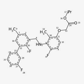 Cc1cc(CNc2c(F)ccc(OCC(=O)OC(C)C)c2C)c(F)c(-c2cccc(F)c2)c1